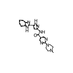 CN1CCN(c2ncc(C(=O)Nc3cc(-c4nc5ccccc5[nH]4)[nH]n3)cn2)CC1